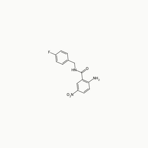 Nc1ccc([N+](=O)[O-])cc1C(=O)NCc1ccc(F)cc1